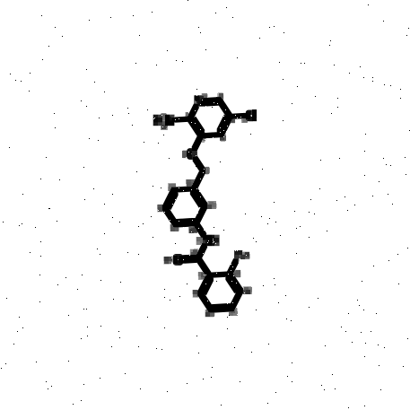 Nc1ncc(Cl)cc1OCc1cccc(NC(=O)c2ccccc2F)c1